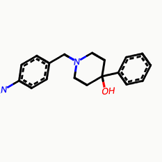 Nc1ccc(CN2CCC(O)(c3ccccc3)CC2)cc1